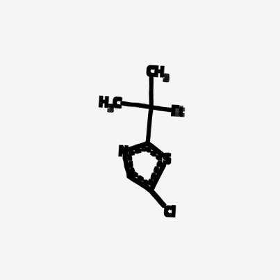 CCC(C)(C)c1ncc(Cl)s1